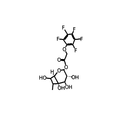 CC1C(O)[C@H]2OC(OC(=O)COc3c(F)c(F)c(F)c(F)c3F)[C@H](O)[C@@H](O)[C@@]12O